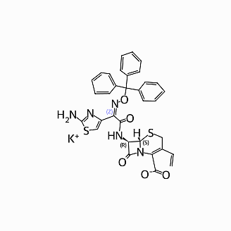 C=CC1=C(C(=O)[O-])N2C(=O)[C@@H](NC(=O)/C(=N\OC(c3ccccc3)(c3ccccc3)c3ccccc3)c3csc(N)n3)[C@@H]2SC1.[K+]